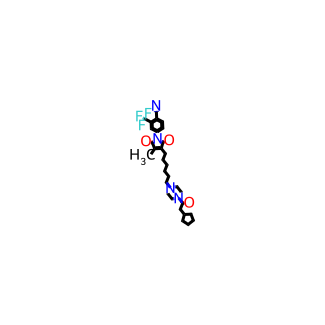 CC1=C(CCCCCCN2CCN(C(=O)CC3CCCC3)CC2)C(=O)N(c2ccc(C#N)c(C(F)(F)F)c2)C1=O